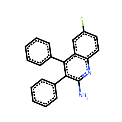 Nc1nc2ccc(F)cc2c(-c2ccccc2)c1-c1ccccc1